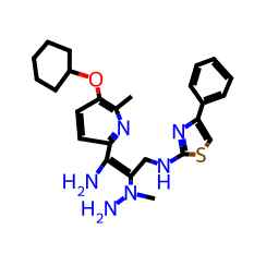 Cc1nc(/C(N)=C(\CNc2nc(-c3ccccc3)cs2)N(C)N)ccc1OC1CCCCC1